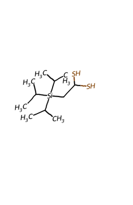 CC(C)[Si](CC(S)S)(C(C)C)C(C)C